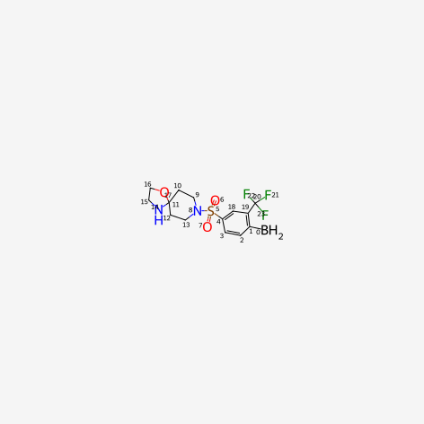 Bc1ccc(S(=O)(=O)N2CCC3(CC2)NCCO3)cc1C(F)(F)F